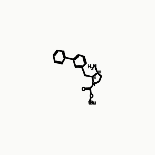 CC(C)(C)OC(=O)N1CC[C@H](N)[C@@H]1Cc1cccc(-c2ccccc2)c1